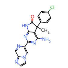 CC1(c2ccc(Cl)cc2)C(=O)Nc2nc(-c3cn4ccnc4cn3)nc(N)c21